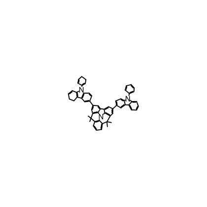 CC1(C)c2cccc3c2-n2c4c1cc(-c1ccc5c(c1)c1c(n5C5=CCCC=C5)C=CCC1)cc4c1cc(-c4ccc5c(c4)c4ccccc4n5-c4ccccc4)cc(c12)C3(C)C